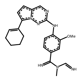 COc1cc(C(=N)N(C)C=N)ccc1Nc1ncc2ccc(C3=CCCCC3)n2n1